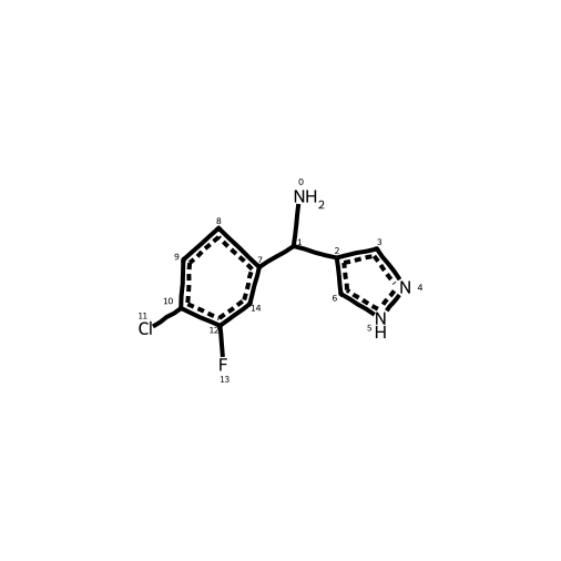 NC(c1cn[nH]c1)c1ccc(Cl)c(F)c1